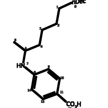 CCCCCCCCCCCCCCC(C)Nc1ccc(C(=O)O)cc1